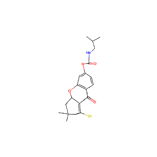 CC(C)CNC(=O)Oc1ccc2c(c1)OC1CC(C)(C)CC(S)=C1C2=O